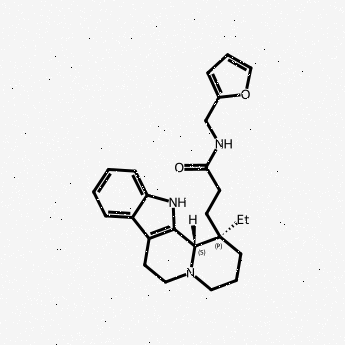 CC[C@]1(CCC(=O)NCc2ccco2)CCCN2CCc3c([nH]c4ccccc34)[C@@H]21